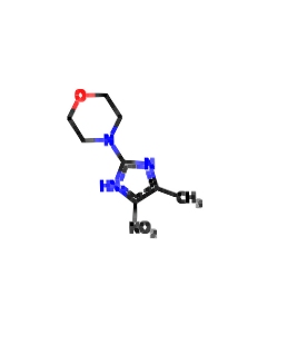 Cc1nc(N2CCOCC2)[nH]c1[N+](=O)[O-]